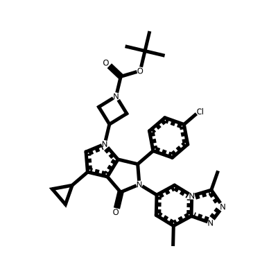 Cc1cc(N2C(=O)c3c(C4CC4)cn(C4CN(C(=O)OC(C)(C)C)C4)c3C2c2ccc(Cl)cc2)cn2c(C)nnc12